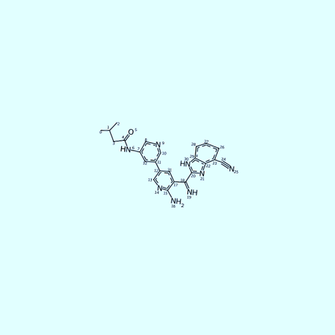 CC(C)CC(=O)Nc1cncc(-c2cnc(N)c(C(=N)c3nc4c(C#N)cccc4[nH]3)c2)c1